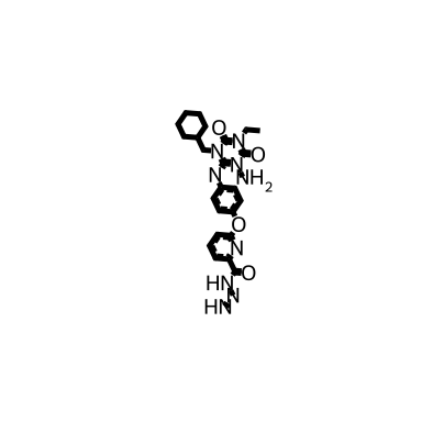 CCn1c(=O)n(N)/c(=N\c2ccc(Oc3cccc(C(=O)NN=N)n3)cc2)n(CC2CCCCC2)c1=O